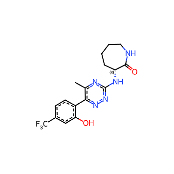 Cc1nc(N[C@@H]2CCCCNC2=O)nnc1-c1ccc(C(F)(F)F)cc1O